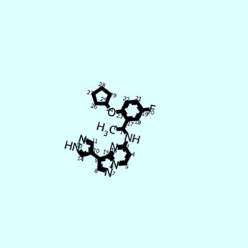 CC(Nc1ccn2ncc(-c3cn[nH]c3)c2n1)c1cc(F)ccc1OC1CCCC1